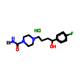 CCNC(=O)N1CCN(CCCC(O)c2ccc(F)cc2)CC1.Cl